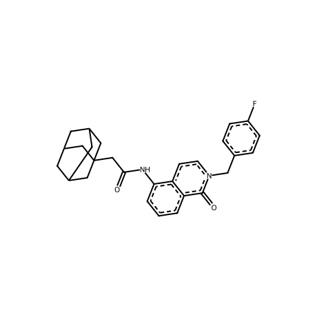 O=C(CC12CC3CC(CC(C3)C1)C2)Nc1cccc2c(=O)n(Cc3ccc(F)cc3)ccc12